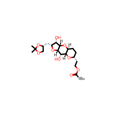 CC1(C)OC[C@@H](C[C@H]2O[C@H]3[C@@H](O)[C@H]4O[C@@H](CCOC(=O)C(C)(C)C)CC[C@@H]4O[C@H]3[C@H]2O)O1